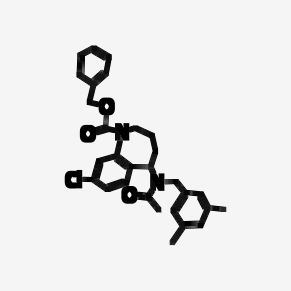 CC(=O)N(Cc1cc(C)cc(C)c1)C1CCCN(C(=O)OCc2ccccc2)c2cc(Cl)ccc21